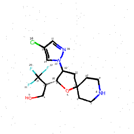 OCC([C@H]1OC2(CCNCC2)CC1n1cc(Cl)cn1)C(F)(F)F